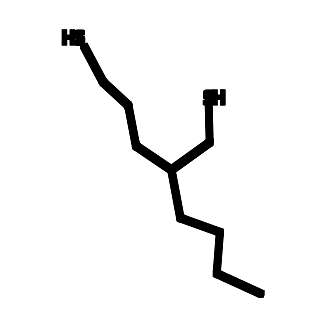 CCCCC(CS)CCCS